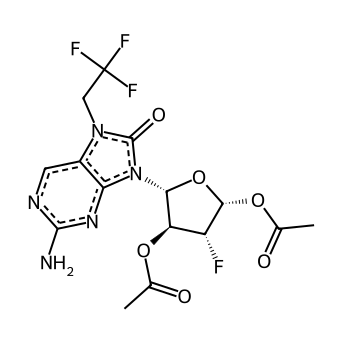 CC(=O)O[C@H]1O[C@@H](n2c(=O)n(CC(F)(F)F)c3cnc(N)nc32)[C@H](OC(C)=O)[C@H]1F